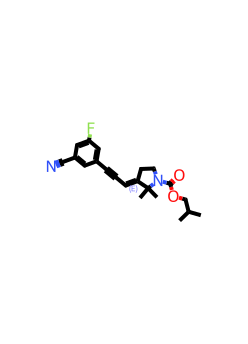 CC(C)COC(=O)N1CC/C(=C\C#Cc2cc(F)cc(C#N)c2)C1(C)C